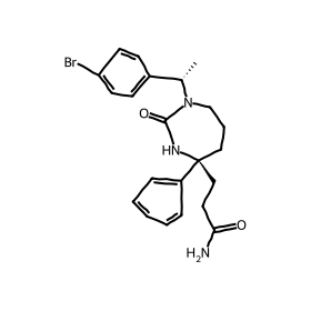 C[C@@H](c1ccc(Br)cc1)N1CCC[C@](CCC(N)=O)(c2ccccc2)NC1=O